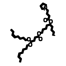 [CH2]CCCC(CCCCOC(=O)CCC(OCCCC/C=C\CC)OCCCC/C=C\CC)OC(=O)CCCN1CCCC1